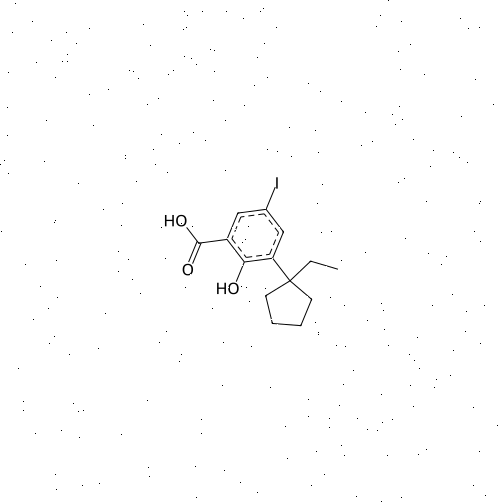 CCC1(c2cc(I)cc(C(=O)O)c2O)CCCC1